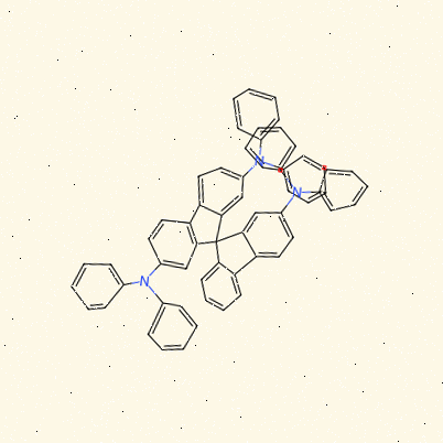 c1ccc(N(c2ccccc2)c2ccc3c(c2)C2(c4ccccc4-3)c3cc(N(c4ccccc4)c4ccccc4)ccc3-c3ccc(N(c4ccccc4)c4ccccc4)cc32)cc1